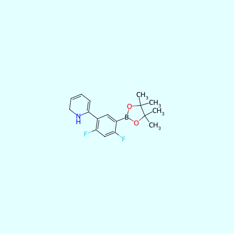 CC1(C)OB(c2cc(C3=CC=CCN3)c(F)cc2F)OC1(C)C